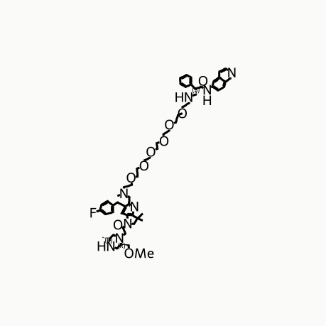 COC[C@H]1CN[C@H](C)CN1CC(=O)N1CC(C)(C)c2nc(CN(C)CCOCCOCCOCCOCCOCCOCCNC[C@@H](C(=O)Nc3ccc4cnccc4c3)c3ccccc3)c(Cc3ccc(F)cc3)cc21